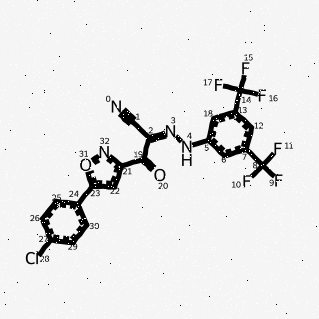 N#CC(=NNc1cc(C(F)(F)F)cc(C(F)(F)F)c1)C(=O)c1cc(-c2ccc(Cl)cc2)on1